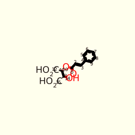 O=C(C=Cc1ccccc1)O[C@H](C(=O)O)[C@H](O)C(=O)O